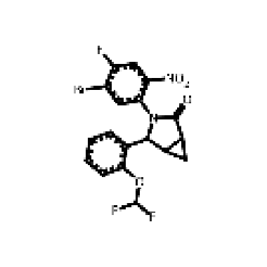 O=C1C2CC2C(c2ccccc2OC(F)F)N1c1cc(Br)c(F)cc1[N+](=O)[O-]